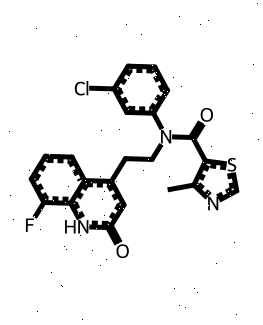 Cc1ncsc1C(=O)N(CCc1cc(=O)[nH]c2c(F)cccc12)c1cccc(Cl)c1